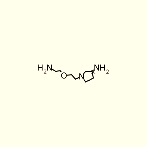 NCCOCCN1CC[C@@H](N)C1